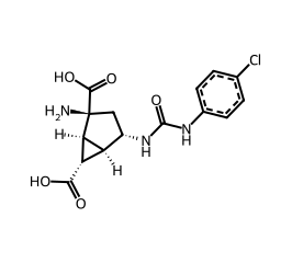 N[C@@]1(C(=O)O)C[C@H](NC(=O)Nc2ccc(Cl)cc2)[C@H]2[C@H](C(=O)O)[C@H]21